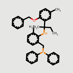 CCC(C)(Pc1c(C)cccc1CP(c1ccccc1)c1ccccc1)c1cc(C)ccc1OCc1ccccc1